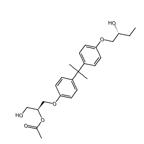 CC[C@@H](O)COc1ccc(C(C)(C)c2ccc(OC[C@H](CO)OC(C)=O)cc2)cc1